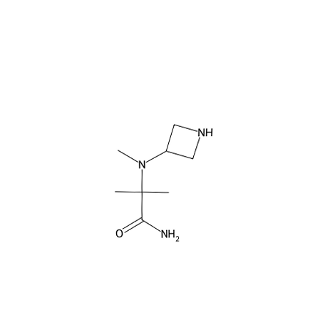 CN(C1CNC1)C(C)(C)C(N)=O